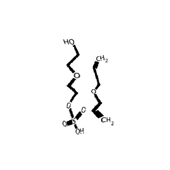 C=CCOCC=C.O=S(=O)(O)OCCOCCO